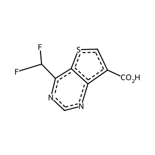 O=C(O)c1csc2c(C(F)F)ncnc12